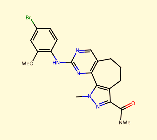 CNC(=O)c1nn(C)c2c1CCCc1cnc(Nc3ccc(Br)cc3OC)nc1-2